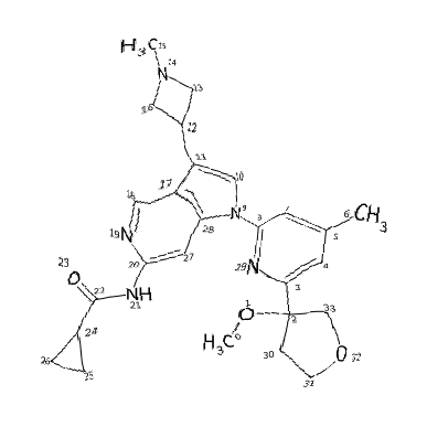 COC1(c2cc(C)cc(-n3cc(C4CN(C)C4)c4cnc(NC(=O)C5CC5)cc43)n2)CCOC1